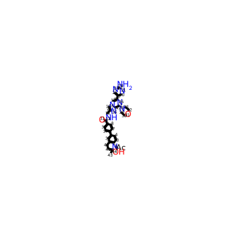 CC(=O)N1c2ccc(-c3ccc(C(=O)NCc4cn5cc(-c6cnc(N)nc6)nc(N6CCOCC6)c5n4)cc3)cc2CCC1(C)O